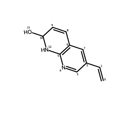 C=Cc1cnc2c(c1)C=CC(O)N2